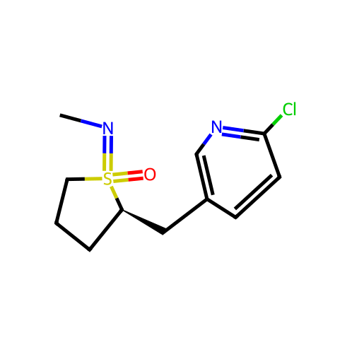 CN=S1(=O)CCC[C@@H]1Cc1ccc(Cl)nc1